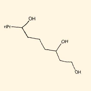 CCCC(O)CCCC(O)CCO